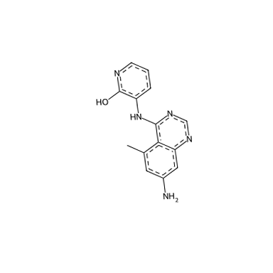 Cc1cc(N)cc2ncnc(Nc3cccnc3O)c12